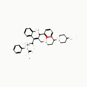 COC(=O)N(NC(=O)c1c(CN2CCC(N3CCC(O)CC3)CC2)c(-c2ccccc2)nc2ccccc12)c1ccccc1